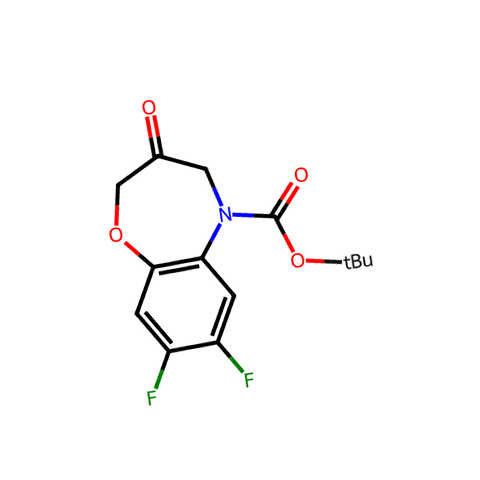 CC(C)(C)OC(=O)N1CC(=O)COc2cc(F)c(F)cc21